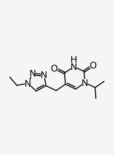 CCn1cc(Cc2cn(C(C)C)c(=O)[nH]c2=O)nn1